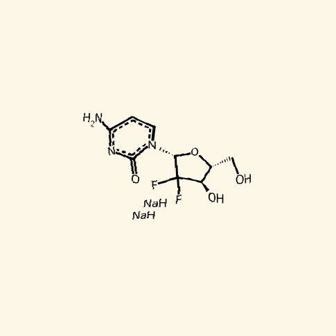 Nc1ccn([C@@H]2O[C@H](CO)[C@@H](O)C2(F)F)c(=O)n1.[NaH].[NaH]